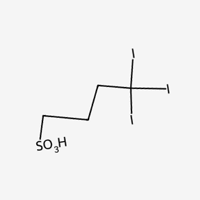 O=S(=O)(O)CCCC(I)(I)I